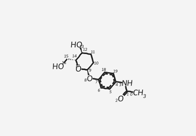 CC(=O)Nc1ccc(O[C@@H]2CC[C@H](O)[C@@H](CO)O2)cc1